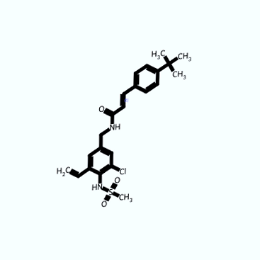 C=Cc1cc(CNC(=O)/C=C/c2ccc(C(C)(C)C)cc2)cc(Cl)c1NS(C)(=O)=O